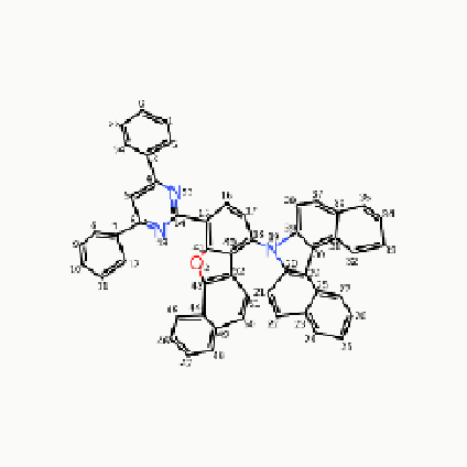 c1ccc(-c2cc(-c3ccccc3)nc(-c3ccc(-n4c5ccc6ccccc6c5c5c6ccccc6ccc54)c4c3oc3c5ccccc5ccc34)n2)cc1